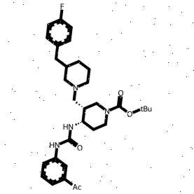 CC(=O)c1cccc(NC(=O)N[C@H]2CCN(C(=O)OC(C)(C)C)C[C@H]2CN2CCCC(Cc3ccc(F)cc3)C2)c1